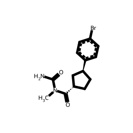 CN(C(N)=O)C(=O)[C@H]1CC[C@H](c2ccc(Br)cc2)C1